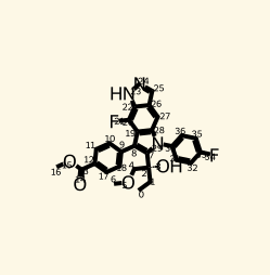 CC[C@@](O)(COC)c1c(-c2ccc(C(=O)OC)cc2)c2c(F)c3[nH]ncc3cc2n1-c1ccc(F)cc1